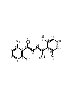 Fc1cccc(F)c1C(Cl)=NN=C(Cl)c1c(F)cccc1F